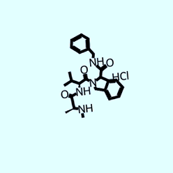 CN[C@@H](C)C(=O)N[C@H](C(=O)N1Cc2ccccc2C1C(=O)NCc1ccccc1)C(C)C.Cl